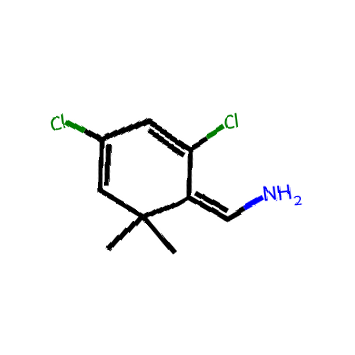 CC1(C)C=C(Cl)C=C(Cl)/C1=C\N